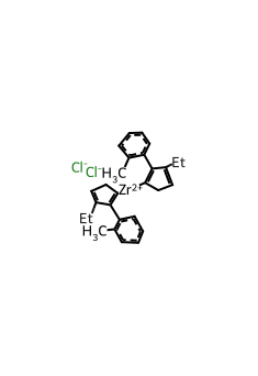 CCC1=CC[C]([Zr+2][C]2=C(c3ccccc3C)C(CC)=CC2)=C1c1ccccc1C.[Cl-].[Cl-]